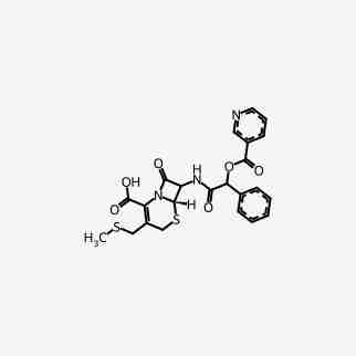 CSCC1=C(C(=O)O)N2C(=O)C(NC(=O)C(OC(=O)c3cccnc3)c3ccccc3)[C@@H]2SC1